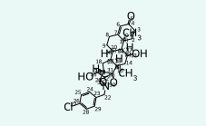 C[C@]12C=CC(=O)C=C1CC[C@@H]1[C@@H]2[C@@H](O)C[C@@]2(C)[C@H]1C[C@H]1CN(Cc3ccc(Cl)cc3)O[C@]12C(=O)CO